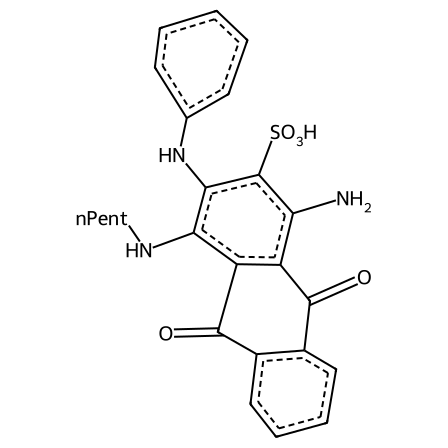 CCCCCNc1c(Nc2ccccc2)c(S(=O)(=O)O)c(N)c2c1C(=O)c1ccccc1C2=O